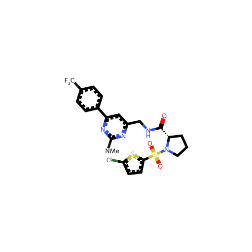 CNc1nc(CNC(=O)[C@@H]2CCCN2S(=O)(=O)c2ccc(Cl)s2)cc(-c2ccc(C(F)(F)F)cc2)n1